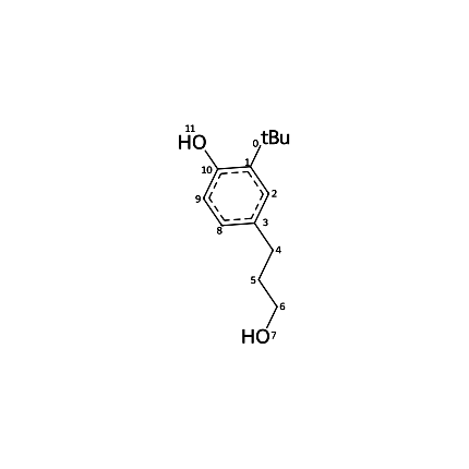 CC(C)(C)c1cc(CCCO)ccc1O